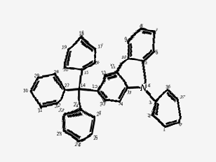 c1ccc(-n2c3ccccc3c3cc(C(c4ccccc4)(c4ccccc4)c4ccccc4)ccc32)cc1